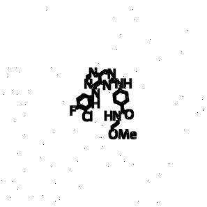 COCCNC(=O)C1CCC(Nc2ncc3ncnc(Nc4ccc(F)c(Cl)c4)c3n2)CC1